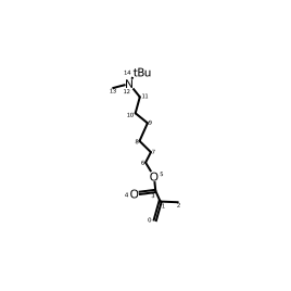 C=C(C)C(=O)OCCCCCCN(C)C(C)(C)C